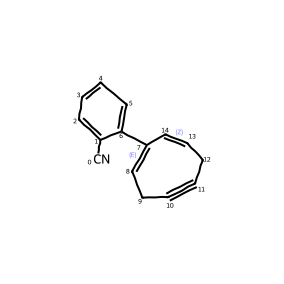 N#Cc1ccccc1C1=C/CC#CC/C=C\1